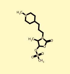 CC1C(OS(C)(=O)=O)OC(=O)N1CCCC1CCN(C)CC1